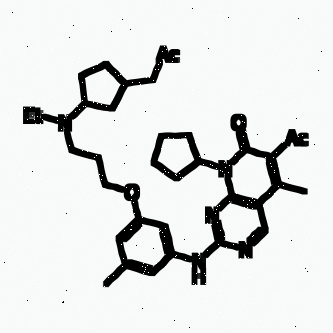 CCN(CCCOc1cc(C)cc(Nc2ncc3c(C)c(C(C)=O)c(=O)n(C4CCCC4)c3n2)c1)C1CCC(CC(C)=O)C1